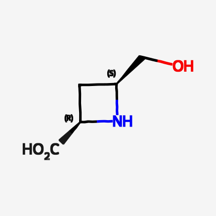 O=C(O)[C@H]1C[C@@H](CO)N1